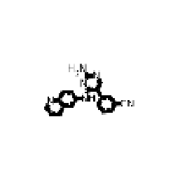 N#Cc1cccc(-c2cnc(N)nc2Nc2ccc3ncccc3c2)c1